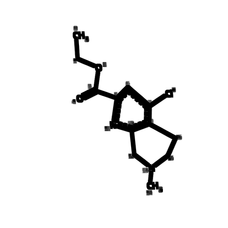 CCOC(=O)c1cc(Cl)c2c(n1)CN(C)CC2